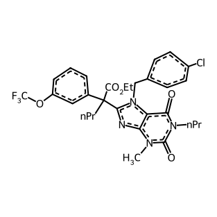 CCCn1c(=O)c2c(nc(C(CCC)(C(=O)OCC)c3cccc(OC(F)(F)F)c3)n2Cc2ccc(Cl)cc2)n(C)c1=O